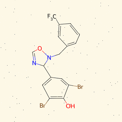 Oc1c(Br)cc(C2N=CON2Cc2cccc(C(F)(F)F)c2)cc1Br